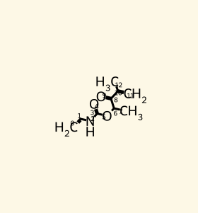 C=CNC(=O)OC(C)C(=O)C(=C)C